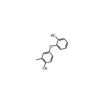 Cc1cc(Oc2ccccc2C#N)ccc1C#N